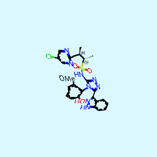 COc1cccc(O)c1-n1c(NS(=O)(=O)[C@@H](C)[C@H](C)c2ncc(Cl)cn2)nnc1-c1n[nH]c2ccccc12